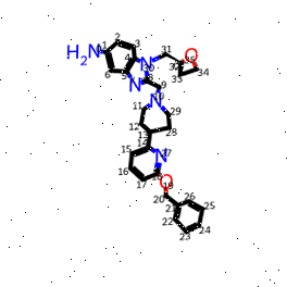 Nc1ccc2c(c1)nc(CN1CCC(c3cccc(OCc4ccccc4)n3)CC1)n2C[C@@H]1CCO1